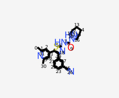 Cc1cc(-c2sc(NC(=O)N3CC4CCC(C3)N4)nc2-c2cccc(C#N)c2)cc(C)n1